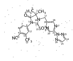 CC1(C)C(=O)N(c2ccc(C#N)c(C(F)(F)F)c2)C(S(=O)(=O)O)N1Cc1ccc(-n2nccn2)nc1